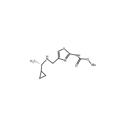 C[C@H](NCc1csc(NC(=O)OC(C)(C)C)n1)C1CC1